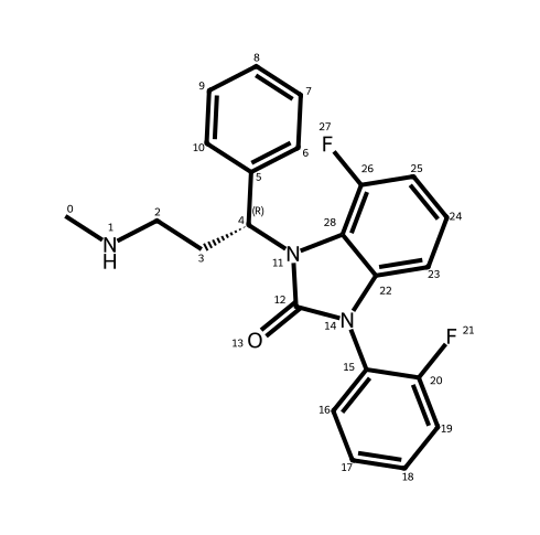 CNCC[C@H](c1ccccc1)n1c(=O)n(-c2ccccc2F)c2cccc(F)c21